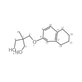 CC(CO)(CO)COc1ccc2c(c1)CCCC2